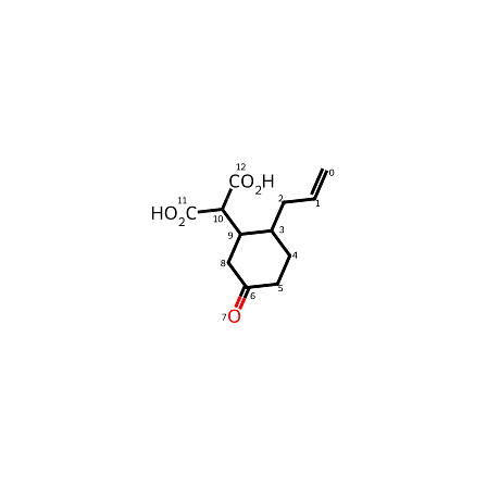 C=CCC1CCC(=O)CC1C(C(=O)O)C(=O)O